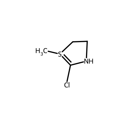 CS1=C(Cl)NCC1